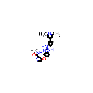 CNC(=O)c1cc(Oc2ccc3[nH]c(Nc4cccc(-c5cc(C)nc(C)c5)c4)nc3c2)ccn1